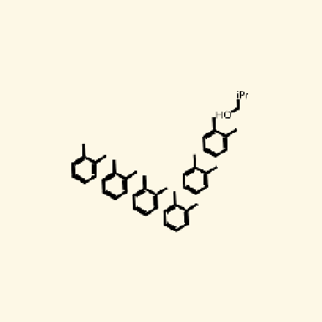 CC(C)CO.Cc1ccccc1C.Cc1ccccc1C.Cc1ccccc1C.Cc1ccccc1C.Cc1ccccc1C.Cc1ccccc1C